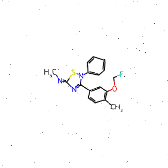 CN=c1nc(-c2ccc(C)c(OCF)c2)n(-c2ccccc2)s1